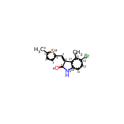 Cc1ccc(C=C2C(=O)Nc3ccc(Br)c(C)c32)s1